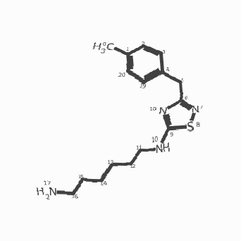 Cc1ccc(Cc2nsc(NCCCCCCN)n2)cc1